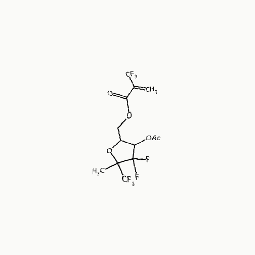 C=C(C(=O)OCC1OC(C)(C(F)(F)F)C(F)(F)C1OC(C)=O)C(F)(F)F